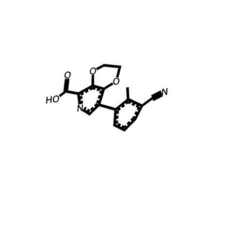 Cc1c(C#N)cccc1-c1cnc(C(=O)O)c2c1OCCO2